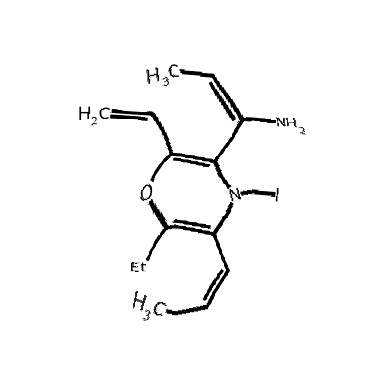 C=CC1=C(/C(N)=C\C)N(I)C(/C=C\C)=C(CC)O1